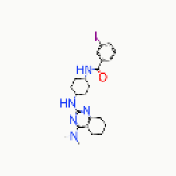 CN(C)c1nc(NC2CCC(NC(=O)c3cccc(I)c3)CC2)nc2c1CCCC2